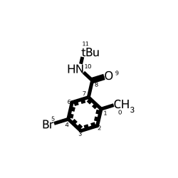 Cc1ccc(Br)cc1C(=O)NC(C)(C)C